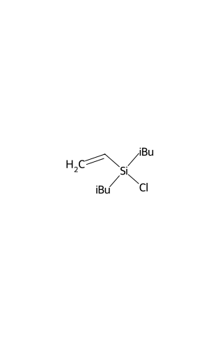 C=C[Si](Cl)(C(C)CC)C(C)CC